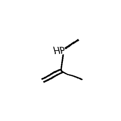 C=C(C)PC